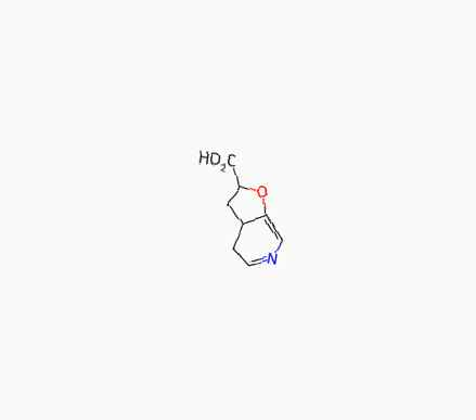 O=C(O)C1CC2CC=NC=C2O1